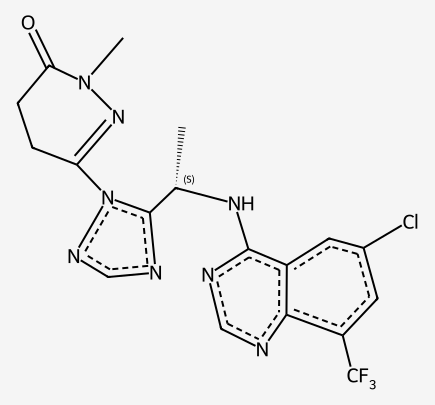 C[C@H](Nc1ncnc2c(C(F)(F)F)cc(Cl)cc12)c1ncnn1C1=NN(C)C(=O)CC1